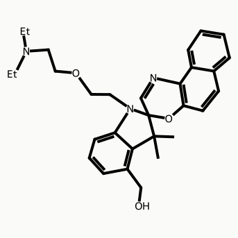 CCN(CC)CCOCCN1c2cccc(CO)c2C(C)(C)C12C=Nc1c(ccc3ccccc13)O2